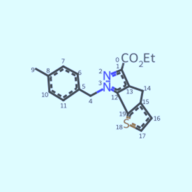 CCOC(=O)c1nn(Cc2ccc(C)cc2)c2c1Cc1ccsc1-2